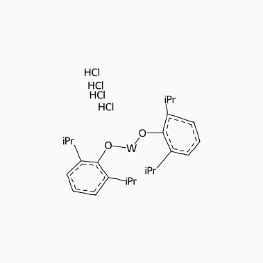 CC(C)c1cccc(C(C)C)c1[O][W][O]c1c(C(C)C)cccc1C(C)C.Cl.Cl.Cl.Cl